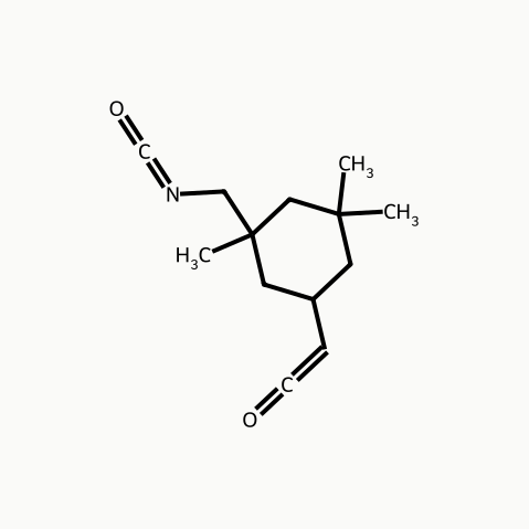 CC1(C)CC(C=C=O)CC(C)(CN=C=O)C1